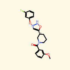 COc1cccc(C(=O)N2CCC[C@H](C3=CN(Oc4cccc(F)c4)NO3)C2)c1